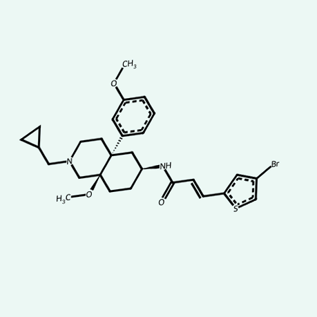 COc1cccc([C@@]23CCN(CC4CC4)C[C@@]2(OC)CC[C@H](NC(=O)C=Cc2cc(Br)cs2)C3)c1